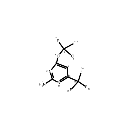 Nc1nc(OC(F)(F)Cl)cc(C(F)(F)F)n1